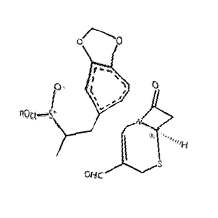 CCCCCCCC[S+]([O-])C(C)Cc1ccc2c(c1)OCO2.O=CC1=CN2C(=O)C[C@H]2SC1